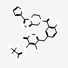 Cc1c(Cc2ccc(F)c(C(=O)N3CCn4c(nnc4-c4cccs4)C3)c2)n[nH]c(=O)c1C.O=C(O)C(F)(F)F